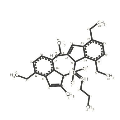 CCC[SiH]=[Hf]([Cl])([Cl])([CH]1C(C)=Cc2c(CC)ccc(CC)c21)[CH]1C(C)=Cc2c(CC)ccc(CC)c21